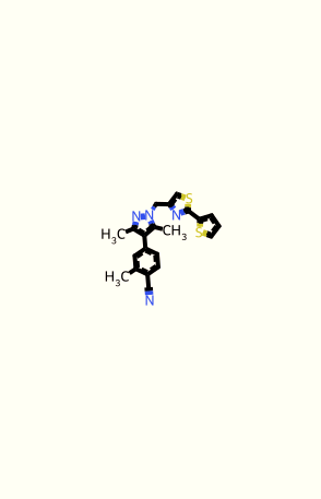 Cc1cc(-c2c(C)nn(Cc3csc(-c4cccs4)n3)c2C)ccc1C#N